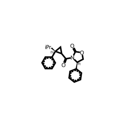 CC(C)[C@@]1(c2ccccc2)CC1C(=O)N1C(=O)OC[C@H]1c1ccccc1